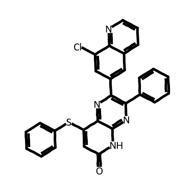 O=c1cc(Sc2ccccc2)c2nc(-c3cc(Cl)c4ncccc4c3)c(-c3ccccc3)nc2[nH]1